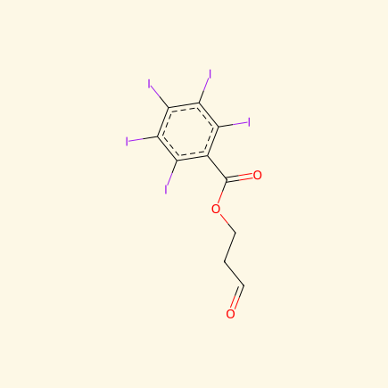 O=CCCOC(=O)c1c(I)c(I)c(I)c(I)c1I